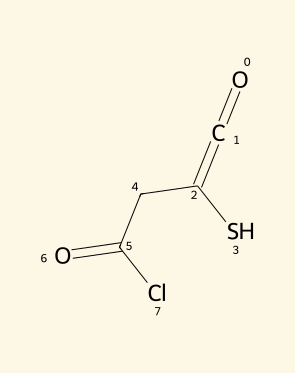 O=C=C(S)CC(=O)Cl